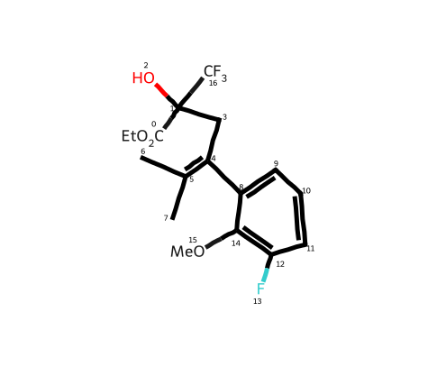 CCOC(=O)C(O)(CC(=C(C)C)c1cccc(F)c1OC)C(F)(F)F